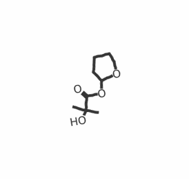 CC(C)(O)C(=O)OC1CCCCO1